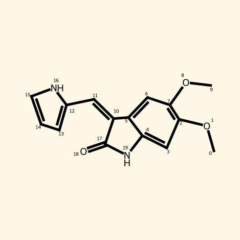 COc1cc2c(cc1OC)C(=Cc1ccc[nH]1)C(=O)N2